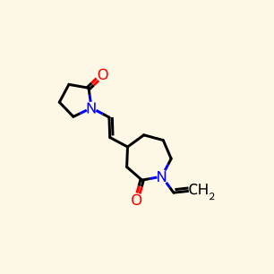 C=CN1CCCC(/C=C/N2CCCC2=O)CC1=O